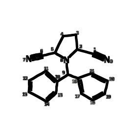 N#CC1CCC(C#N)N1C(c1ccccc1)c1ccccc1